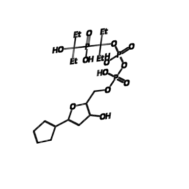 CCC(O)(CC)P(=O)(O)C(CC)(CC)OP(=O)(O)OP(=O)(O)OCC1OC(C2CCCC2)CC1O